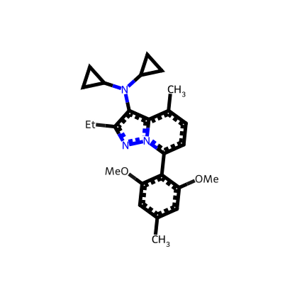 CCc1nn2c(-c3c(OC)cc(C)cc3OC)ccc(C)c2c1N(C1CC1)C1CC1